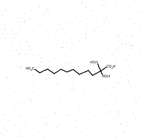 CCCCCCCCC(CCCCCCCC)(CCCCCCCCCC(=O)O)C(=O)O